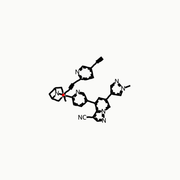 C#Cc1ccc(C#CC(C)N2C3CC2CN(c2ccc(-c4cc(-c5cnn(C)c5)cn5ncc(C#N)c45)cn2)C3)nc1